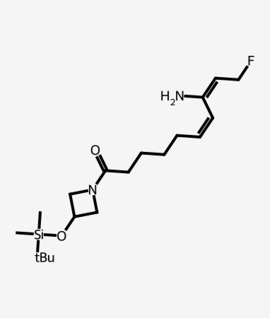 CC(C)(C)[Si](C)(C)OC1CN(C(=O)CCCC/C=C\C(N)=C/CF)C1